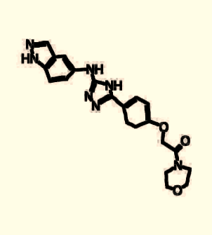 O=C(COC1=CC=C(c2nnc(Nc3ccc4[nH]ncc4c3)[nH]2)CC1)N1CCOCC1